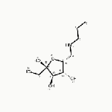 CCCNC[C@H]1O[C@@](O)(CO)[C@H](O)[C@H]1O